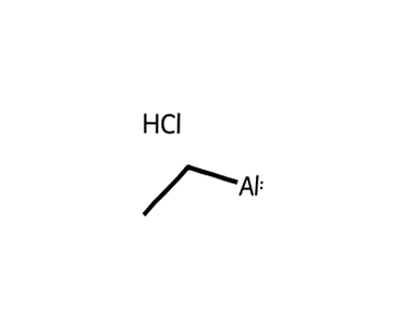 C[CH2][Al].Cl